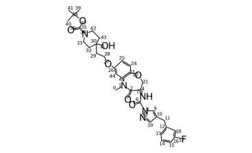 CN1C(=O)[C@@H](NC(=O)n2cc(Cc3cccc(F)c3)cn2)COc2ccc(OCCC3(O)CCN(C(=O)OC(C)(C)C)CC3)cc21